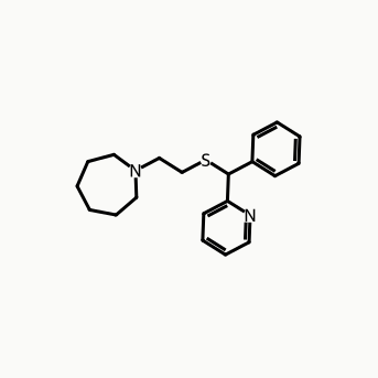 c1ccc(C(SCCN2CCCCCC2)c2ccccn2)cc1